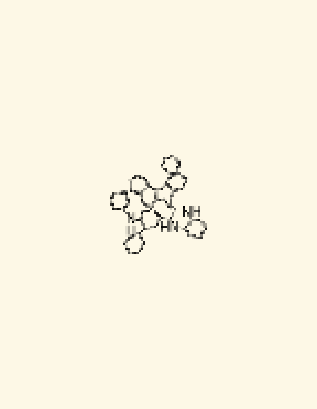 c1ccc(Nc2ccc(C3Nc4ccccc4NC3n3c4ccc5ccccc5c4c4c5ccccc5ccc43)cc2-c2ccccc2)cc1